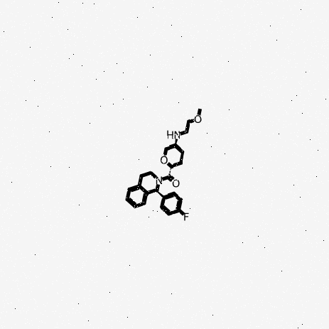 COCCN[C@H]1CC[C@H](C(=O)N2CCc3ccccc3[C@@H]2c2ccc(F)cc2)OC1